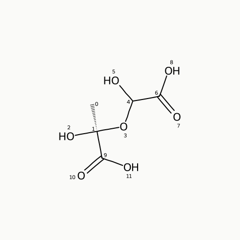 C[C@](O)(OC(O)C(=O)O)C(=O)O